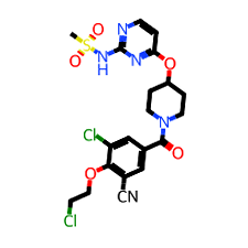 CS(=O)(=O)Nc1nccc(OC2CCN(C(=O)c3cc(Cl)c(OCCCl)c(C#N)c3)CC2)n1